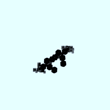 CC(C)(C)c1ccc(N(c2ccc(-c3ccccc3)cc2)c2cccc3c2oc2cc4cc5oc6c(N(c7ccc(-c8ccccc8)cc7)c7ccc(C(C)(C)C)cc7)cccc6c5cc4cc23)cc1